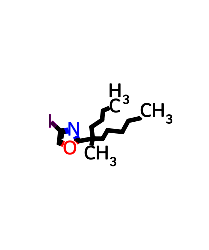 CCCCCCC(C)(CCCC)c1nc(I)co1